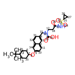 CC(C)(C)C1CCC(Oc2ccc3cc(CN(CCC(=O)NS(=O)(=O)C4CC4)C(=O)O)ccc3c2)CC1